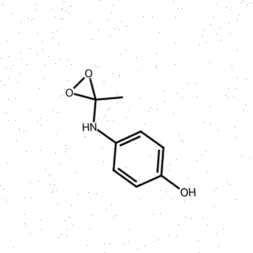 CC1(Nc2ccc(O)cc2)OO1